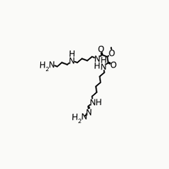 COC(C(=O)NCCCCCCNC=NN)C(=O)NCCCCNCCCN